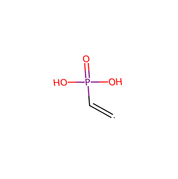 [CH]=CP(=O)(O)O